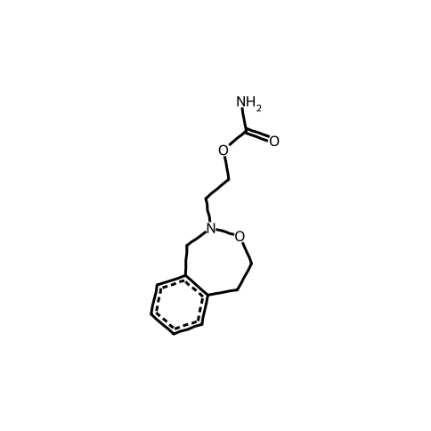 NC(=O)OCCN1Cc2ccccc2CCO1